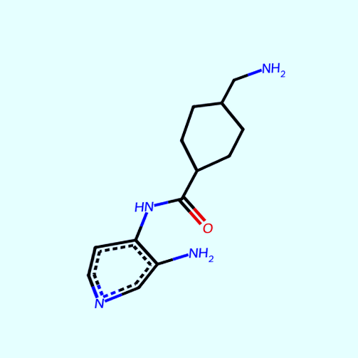 NCC1CCC(C(=O)Nc2ccncc2N)CC1